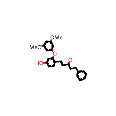 COc1cc(OC)cc(Oc2cc(O)ccc2C=CC(=O)CCc2ccccc2)c1